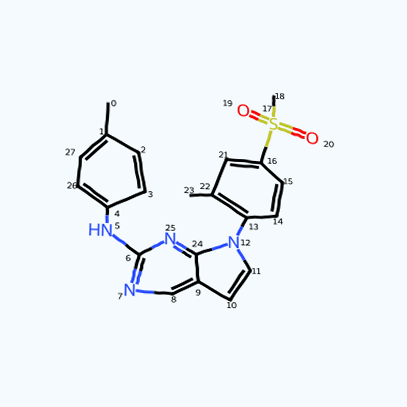 Cc1ccc(Nc2ncc3ccn(-c4ccc(S(C)(=O)=O)cc4C)c3n2)cc1